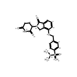 C=S(=O)(c1ccc(COc2cccc3c2CN(C2CCC(=O)NC2=O)C3=O)cc1)N(C)C